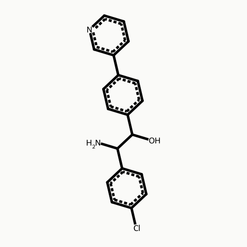 NC(c1ccc(Cl)cc1)C(O)c1ccc(-c2cccnc2)cc1